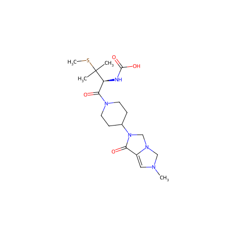 CSC(C)(C)[C@@H](NC(=O)O)C(=O)N1CCC(N2CN3CN(C)C=C3C2=O)CC1